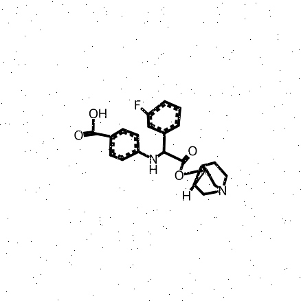 O=C(O)c1ccc(NC(C(=O)O[C@H]2CN3CCC2CC3)c2cccc(F)c2)cc1